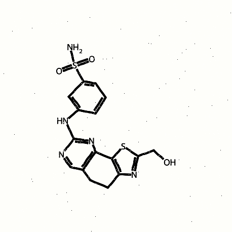 NS(=O)(=O)c1cccc(Nc2ncc3c(n2)-c2sc(CO)nc2CC3)c1